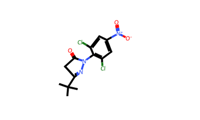 CC(C)(C)C1=NN(c2c(Cl)cc([N+](=O)[O-])cc2Cl)C(=O)C1